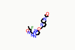 Cc1onc(-c2nnc3ccc(OCc4ccc5c(n4)CCN(C4COC4)C5)nn23)c1F